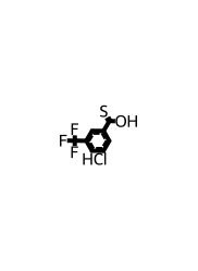 Cl.OC(=S)c1cccc(C(F)(F)F)c1